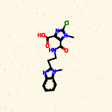 Cn1c(Cl)nc(C(=O)O)c1C(=O)NCCc1nc2ccccc2n1C